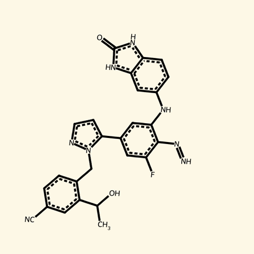 CC(O)c1cc(C#N)ccc1Cn1nccc1-c1cc(F)c(N=N)c(Nc2ccc3[nH]c(=O)[nH]c3c2)c1